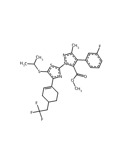 COC(=O)c1c(-c2cccc(F)c2)c(C)nn1-c1nc(C2=CCC(CC(F)(F)F)CC2)c(SC(C)C)s1